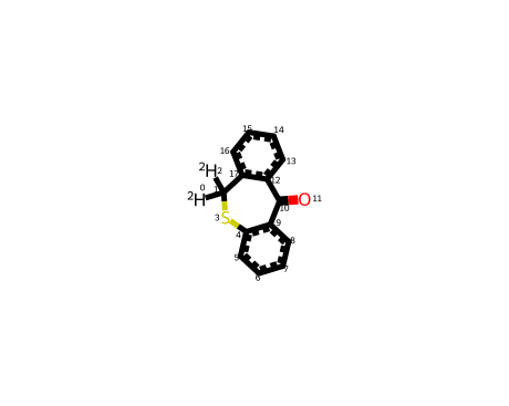 [2H]C1([2H])Sc2ccccc2C(=O)c2ccccc21